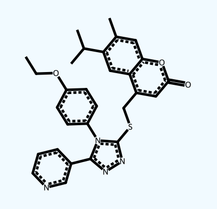 CCOc1ccc(-n2c(SCc3cc(=O)oc4cc(C)c(C(C)C)cc34)nnc2-c2cccnc2)cc1